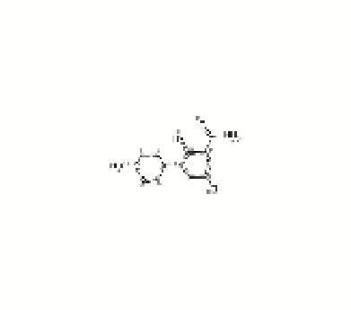 Cc1ccc(-n2cc(Cl)cc(C(N)=O)c2=N)cc1